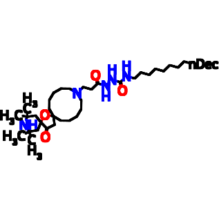 CCCCCCCCCCCCCCCCCCNC(=O)NNC(=O)CCN1CCCCCC2(CCCCC1)CC(=O)C1(CC(C)(C)NC(C)(C)C1)O2